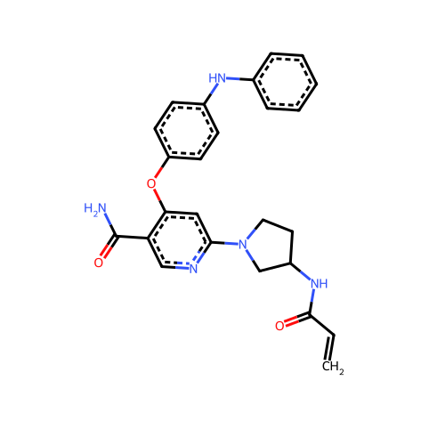 C=CC(=O)NC1CCN(c2cc(Oc3ccc(Nc4ccccc4)cc3)c(C(N)=O)cn2)C1